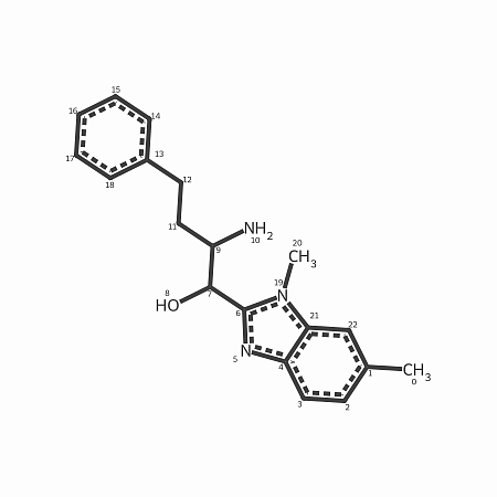 Cc1ccc2nc(C(O)C(N)CCc3ccccc3)n(C)c2c1